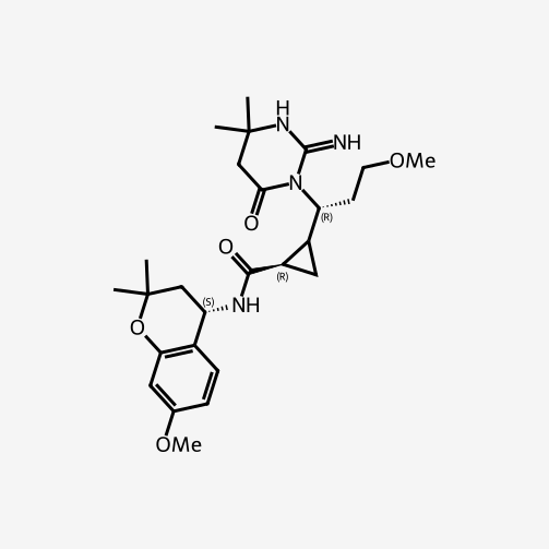 COCC[C@H](C1C[C@H]1C(=O)N[C@H]1CC(C)(C)Oc2cc(OC)ccc21)N1C(=N)NC(C)(C)CC1=O